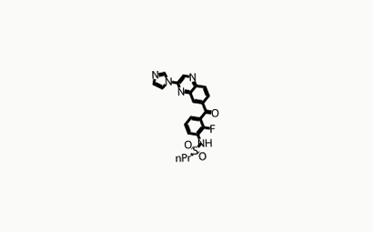 CCCS(=O)(=O)Nc1cccc(C(=O)c2ccc3ncc(-n4ccnc4)nc3c2)c1F